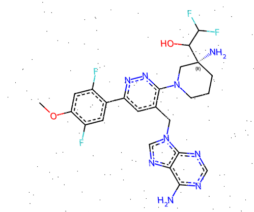 COc1cc(F)c(-c2cc(Cn3cnc4c(N)ncnc43)c(N3CCC[C@](N)(C(O)C(F)F)C3)nn2)cc1F